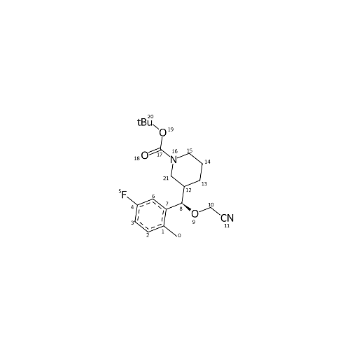 Cc1ccc(F)cc1[C@H](OCC#N)C1CCCN(C(=O)OC(C)(C)C)C1